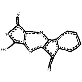 O=c1c2ccccc2c2nc3c(=S)nc(S)c3nc12